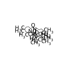 CC(C)CCCNC(=O)C1CCC(C)(C)CC(C)(C)N1C(=O)C1CCC(C)CN1C(=O)C(C)(C)C(C)(C)N(C)C